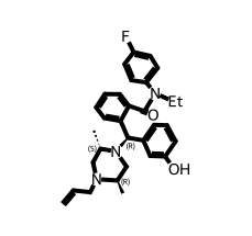 C=CCN1C[C@H](C)N([C@H](c2cccc(O)c2)c2ccccc2C(=O)N(CC)c2ccc(F)cc2)C[C@H]1C